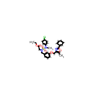 CCOC(=O)CN(Cc1cccc(OCc2nc(-c3ccccc3)oc2C)c1)S(=O)(=O)N(C)c1ccc(Cl)cc1